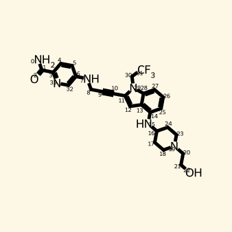 NC(=O)c1ccc(NCC#Cc2cc3c(NC4CCN(CCO)CC4)cccc3n2CC(F)(F)F)cn1